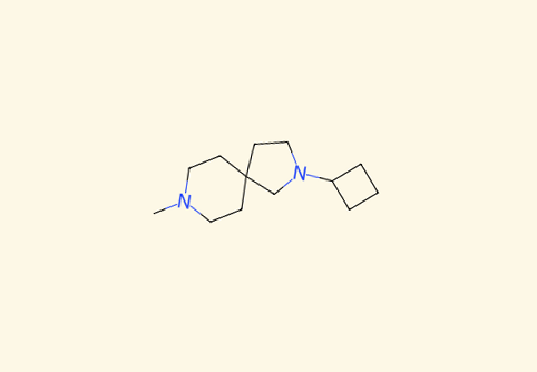 CN1CCC2(CC1)CCN(C1CCC1)C2